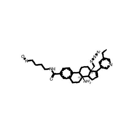 CCc1cncc(C2=CCC3[C@]2(CN=[N+]=[N-])CCC2c4ccc(C(=O)NCCCCN=O)cc4CC[C@]23N)c1